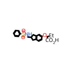 CCC(Oc1ccc2c(c1)CC(CNS(=O)(=O)c1ccccc1)C2)C(=O)O